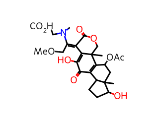 COCC(=C1C(=O)OCC2(C)C1=C(O)C(=O)C1=C2C(OC(C)=O)CC2(C)C(O)CCC12)N(C)CC(=O)O